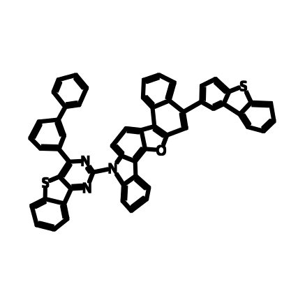 c1ccc(-c2cccc(-c3nc(-n4c5ccccc5c5c6oc7cc(-c8ccc9sc%10ccccc%10c9c8)c8ccccc8c7c6ccc54)nc4c3sc3ccccc34)c2)cc1